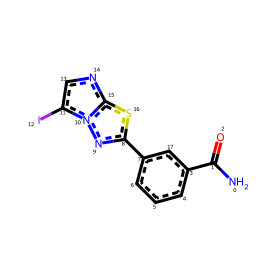 NC(=O)c1cccc(-c2nn3c(I)cnc3s2)c1